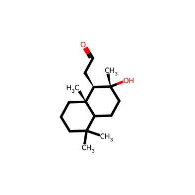 CC1(C)CCC[C@@]2(C)C1CC[C@@](C)(O)[C@@H]2CC=O